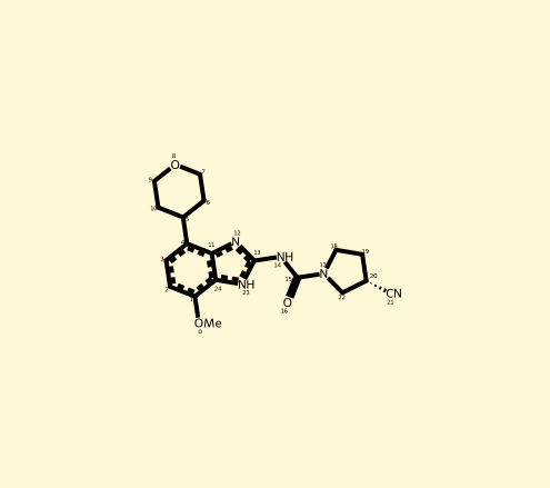 COc1ccc(C2CCOCC2)c2nc(NC(=O)N3CC[C@H](C#N)C3)[nH]c12